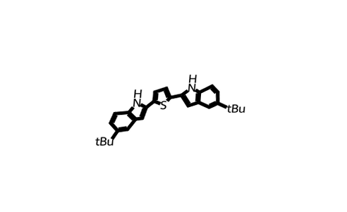 CC(C)(C)c1ccc2[nH]c(-c3ccc(-c4cc5cc(C(C)(C)C)ccc5[nH]4)s3)cc2c1